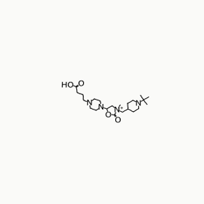 CC(C)(C)N1CCC(C[N+]2(C)CC(N3CCN(CCCC(=O)O)CC3)OC2=O)CC1